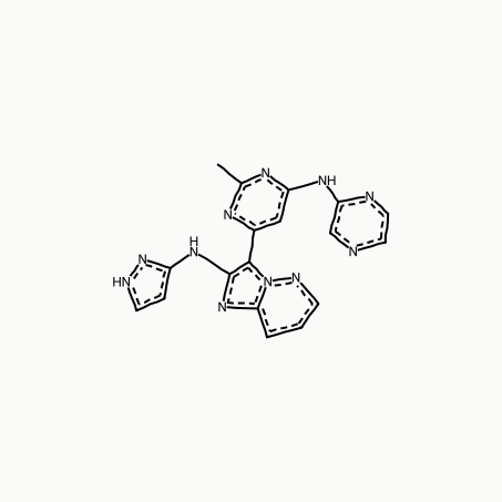 Cc1nc(Nc2cnccn2)cc(-c2c(Nc3cc[nH]n3)nc3cccnn23)n1